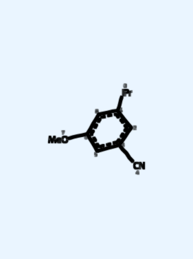 [CH2]C(C)c1cc(C#N)cc(OC)c1